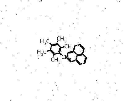 C1=Cc2cccc3cccc(c23)C1.Cc1c(C)c(C)c(C)c(C)c1C